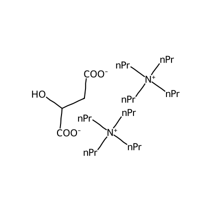 CCC[N+](CCC)(CCC)CCC.CCC[N+](CCC)(CCC)CCC.O=C([O-])CC(O)C(=O)[O-]